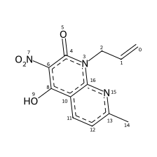 C=CCn1c(=O)c([N+](=O)[O-])c(O)c2ccc(C)nc21